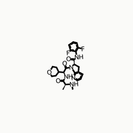 CN[C@@H](C)C(=O)N[C@H](C(=O)N1c2ncccc2C[C@@H]1C(=O)Nc1c(F)cccc1F)C1CCOCC1